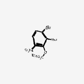 CCOC(=O)Oc1c([N+](=O)[O-])ccc(C(C)(C)C)c1C(C)(C)C